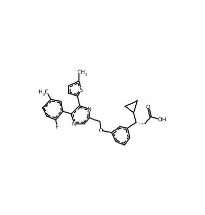 Cc1ccc(F)c(-c2ncc(COc3cccc([C@@H](CC(=O)O)C4CC4)c3)nc2-c2ccc(C)s2)c1